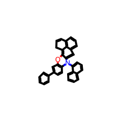 C1=Cc2cccc3cc4c(c(c23)C1)Oc1cc(-c2ccccc2)ccc1N4c1cccc2ccccc12